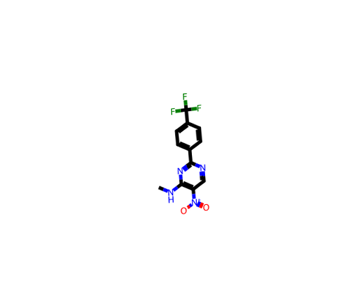 CNc1nc(-c2ccc(C(F)(F)F)cc2)ncc1[N+](=O)[O-]